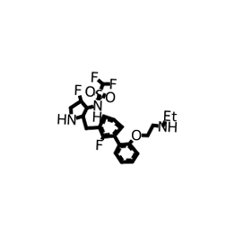 CCNCCOc1ccccc1-c1cccc(CC2NCC(F)C2NS(=O)(=O)C(F)F)c1F